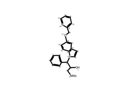 CNCC(O)C(c1ccccc1)n1ccc2cc(OCc3ccccn3)ccc21